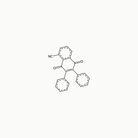 N#Cc1cccc2c1C(=O)C(c1ccccc1)=C(c1ccccc1)C2=O